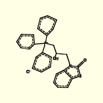 O=c1sc2ccccc2n1CC(O)C[P+](c1ccccc1)(c1ccccc1)c1ccccc1.[Cl-]